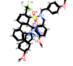 COc1ccc(CN(Cc2ccc(OC)cc2)S(=O)(=O)c2c(C(F)(F)F)ccc(-c3cccc4c3C[CH]C4)c2-c2nnnn2Cc2ccc(OC)cc2)cc1